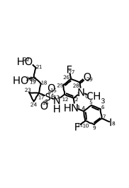 Cn1c(Nc2ccc(I)cc2F)c(NS(=O)(=O)C2(C[C@@H](O)CO)CC2)cc(F)c1=O